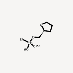 CC[PH](O)(OC)OC[C@@H]1CCCO1